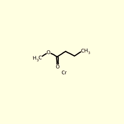 CCCC(=O)OC.[Cr]